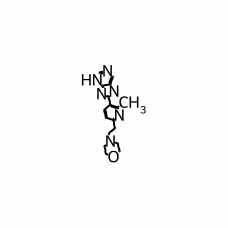 Cc1nc(CCN2CCOCC2)ccc1-c1nc2cnc[nH]c-2n1